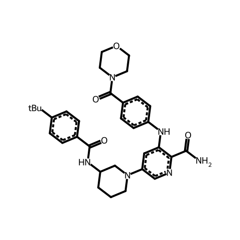 CC(C)(C)c1ccc(C(=O)NC2CCCN(c3cnc(C(N)=O)c(Nc4ccc(C(=O)N5CCOCC5)cc4)c3)C2)cc1